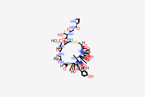 CC[C@H](C)[C@@H]1NC(=O)[C@H](CCC(=O)O)NC(=O)[C@@H](NC(=O)[C@@H](NC(=O)CNC(=O)[C@@H]2C=CCN2)[C@@H](C)O)CSSC[C@@H]2NC(=O)[C@H](C)NC(=O)[C@H](C)NC(=O)[C@H](Cc3ccc(O)cc3)NC(=O)[C@H](C)NC(=O)[C@H](CSSC[C@@H](C(=O)O)NC(=O)CNC(=O)[C@H]([C@@H](C)O)NC2=O)NC1=O